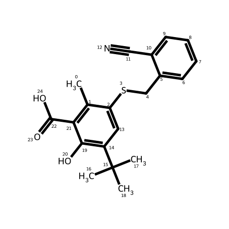 Cc1c(SCc2ccccc2C#N)cc(C(C)(C)C)c(O)c1C(=O)O